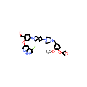 COc1cc(CN2CCN(C3CC4(C3)CN(c3ccc(C=O)c(Oc5cnc6[nH]cc(F)c6c5)c3)C4)CC2)ccc1OC1COC1